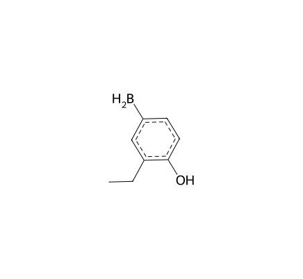 Bc1ccc(O)c(CC)c1